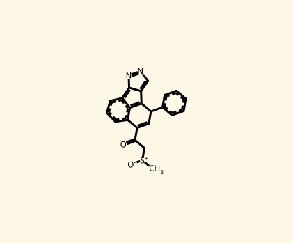 C[S+]([O-])CC(=O)C1=CC(c2ccccc2)C2=c3c1cccc3=C1N=NC=C12